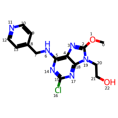 COc1nc2c(NCc3ccncc3)nc(Cl)nc2n1CCO